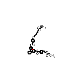 C=CC(=O)OCCCCCCOc1ccc(C(=O)Oc2ccc(C3(c4ccc(OC(=O)c5ccc(OCOC(=O)C=C)cc5)cc4)CCCCC3)cc2)cc1